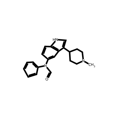 CN1CCC(c2c[nH]c3ccc(N(C=O)c4ccccc4)cc23)CC1